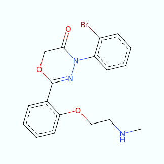 CNCCOc1ccccc1C1=NN(c2ccccc2Br)C(=O)CO1